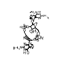 NC1=Nc2c(ncn2C2OC3COP(=O)(O)OC4C(O)C(COP(=O)(O)OC2C3O)OC4n2cnc3c(=O)[nH]c(N)nc32)C(N)N1